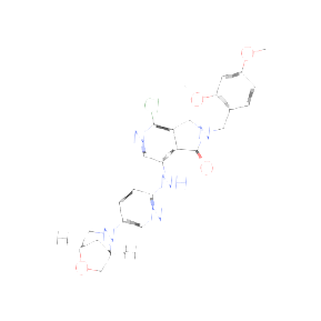 COc1ccc(CN2Cc3c(Cl)ncc(Nc4ccc(N5C[C@H]6C[C@@H]5CO6)cn4)c3C2=O)c(OC)c1